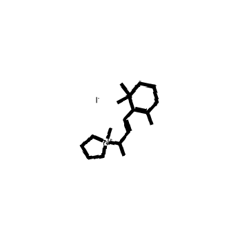 CC1=C(/C=C/C(C)[N+]2(C)CCCC2)C(C)(C)CCC1.[I-]